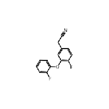 N#CCc1ccc(F)c(Oc2ccccc2F)c1